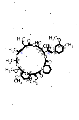 CC[C@@H]1/C=C(\C)C[C@H](C)C[C@H](OC)[C@H]2O[C@@H](C(=O)C(=O)N3CCCCC3C(=O)O[C@H](/C(C)=C/[C@@H]3CC[C@@H](C)[C@H](OC)C3)[C@H](C)[C@@H](O)CC1=O)[C@H](C)C[C@@H]2OC